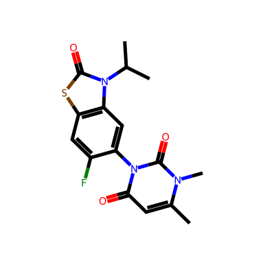 Cc1cc(=O)n(-c2cc3c(cc2F)sc(=O)n3C(C)C)c(=O)n1C